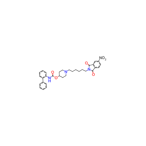 O=C(Nc1ccccc1-c1ccccc1)OC1CCN(CCCCCCN2C(=O)c3ccc([N+](=O)[O-])cc3C2=O)CC1